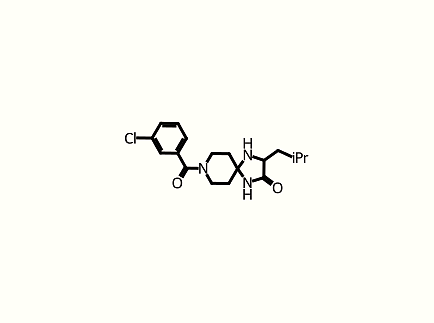 CC(C)CC1NC2(CCN(C(=O)c3cccc(Cl)c3)CC2)NC1=O